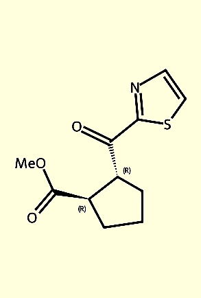 COC(=O)[C@@H]1CCC[C@H]1C(=O)c1nccs1